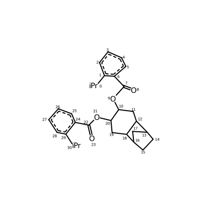 CC(C)c1ccccc1C(=O)OC1CC2C3CCC(C3)C2CC1OC(=O)c1ccccc1C(C)C